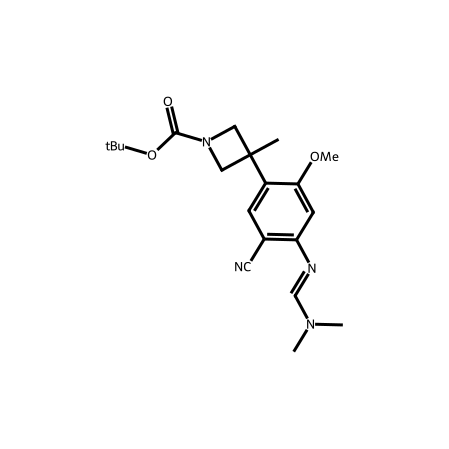 COc1cc(N=CN(C)C)c(C#N)cc1C1(C)CN(C(=O)OC(C)(C)C)C1